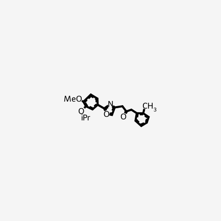 COc1ccc(-c2nc(CC(=O)Cc3ccccc3C)co2)cc1OC(C)C